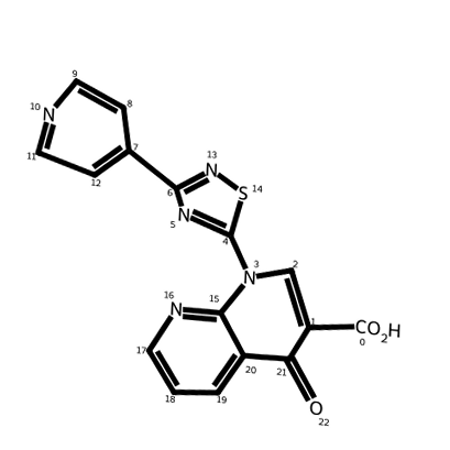 O=C(O)c1cn(-c2nc(-c3ccncc3)ns2)c2ncccc2c1=O